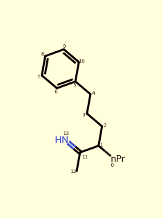 CCCC(CCCc1ccccc1)C(C)=N